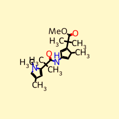 COC(=O)C(C)(C)C1=CC(NC(=O)C(C)(C)c2cc(C)cn2C)=CC1C